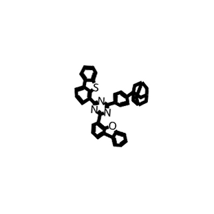 c1ccc2c(c1)oc1c(-c3nc(-c4ccc(C56CC7CC(CC(C7)C5)C6)cc4)nc(-c4cccc5c4sc4ccccc45)n3)cccc12